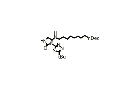 CCCCCCCCCCCCCCCCCCNC1CN(C)C(=O)N1c1nnc(C(C)(C)C)s1